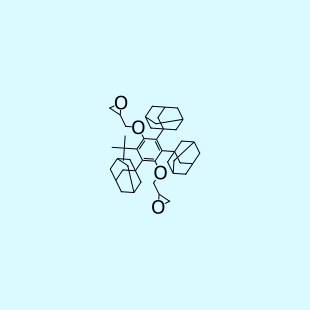 CC(C)(C)c1c(OCC2CO2)c(C23CC4CC(CC(C4)C2)C3)c(C23CC4CC(CC(C4)C2)C3)c(OCC2CO2)c1C12CC3CC(CC(C3)C1)C2